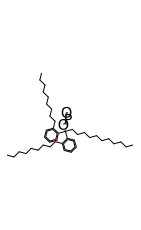 CCCCCCCCCCCC(OP=O)(c1ccccc1CCCCCCCCC)c1ccccc1CCCCCCCCC